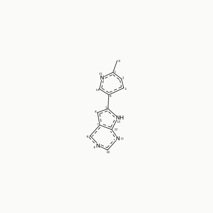 Cc1ccc(-c2cc3cncnc3[nH]2)cn1